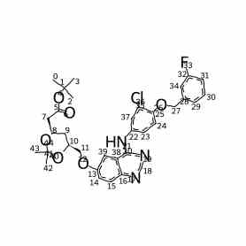 CC(C)(C)OC(=O)C[C@H]1C[C@@H](COc2ccc3ncnc(Nc4ccc(OCc5cccc(F)c5)c(Cl)c4)c3c2)OC(C)(C)O1